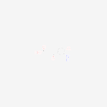 O=C(O)CCC(=O)c1ccc2c(c1)NCCO2